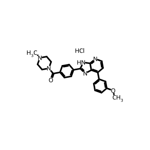 COc1cccc(-c2ccnc3[nH]c(-c4ccc(C(=O)N5CCN(C)CC5)cc4)nc23)c1.Cl